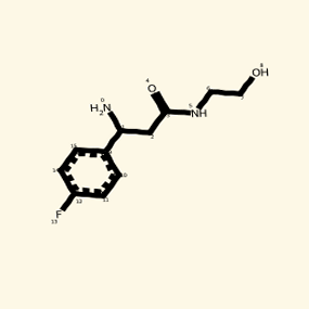 NC(CC(=O)NCCO)c1ccc(F)cc1